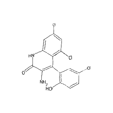 Nc1c(-c2cc(Cl)ccc2O)c2c(Cl)cc(Cl)cc2[nH]c1=O